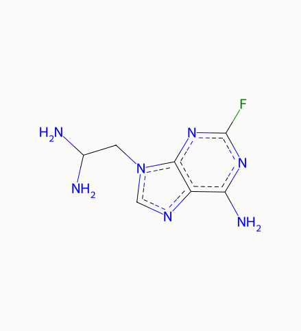 Nc1nc(F)nc2c1ncn2CC(N)N